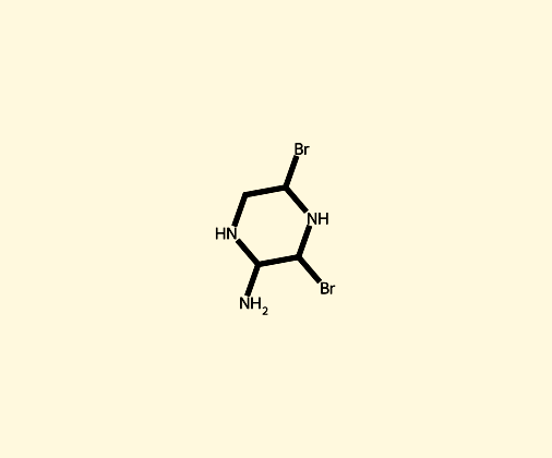 NC1NCC(Br)NC1Br